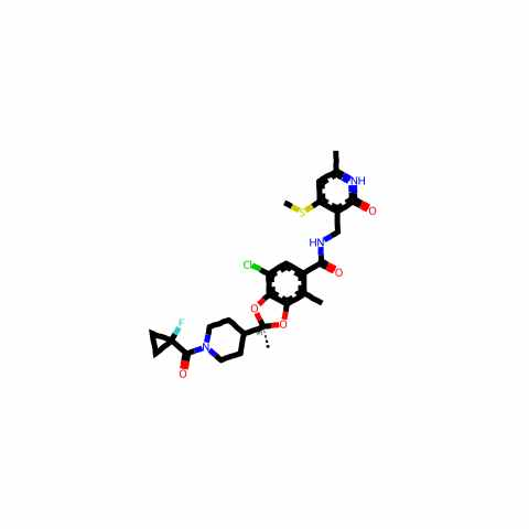 CSc1cc(C)[nH]c(=O)c1CNC(=O)c1cc(Cl)c2c(c1C)O[C@@](C)(C1CCN(C(=O)C3(F)CC3)CC1)O2